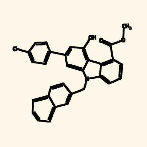 COC(=O)c1cccc2c1c1c(O)cc(-c3ccc(Cl)cc3)cc1n2Cc1ccc2ccccc2c1